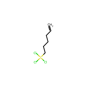 C=CCCCCS(Cl)(Cl)Cl